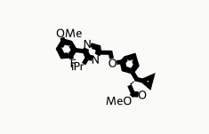 COC(=O)C[C@H](c1cccc(OCc2cnc(-c3cc(OC)ccc3F)c(C(C)C)n2)c1)C1CC1